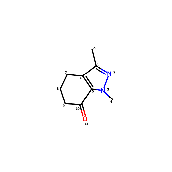 Cc1nn(C)c2c1CCCC2=O